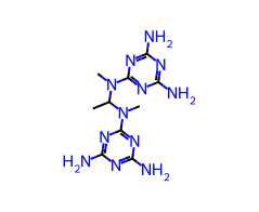 CC(N(C)c1nc(N)nc(N)n1)N(C)c1nc(N)nc(N)n1